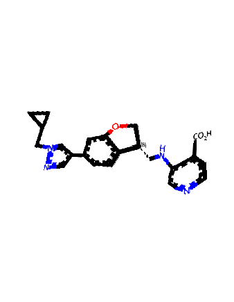 O=C(O)c1ccncc1NC[C@H]1COc2cc(-c3cnn(CC4CC4)c3)ccc21